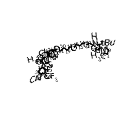 C[C@@H]1CCCN1C(=O)C(NC(=O)COCCCOCCCCOc1cc(Cl)c(N2C(=S)N(c3ccc(C#N)c(C(F)(F)F)c3F)C(=O)C2(C)C)cn1)C(C)(C)C